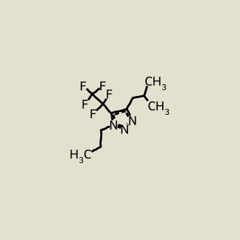 CCCn1nnc(CC(C)C)c1C(F)(F)C(F)(F)F